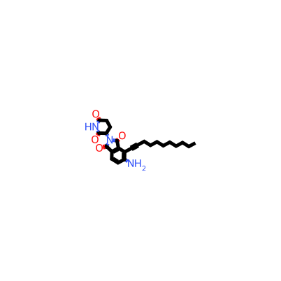 CCCCCCCCCC#Cc1c(N)ccc2c1C(=O)N(C1CCC(=O)NC1=O)C2=O